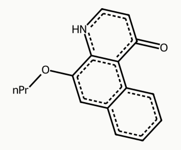 CCCOc1cc2ccccc2c2c(=O)cc[nH]c12